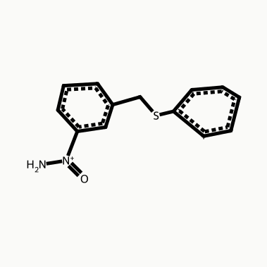 N[N+](=O)c1cccc(CSc2[c]cccc2)c1